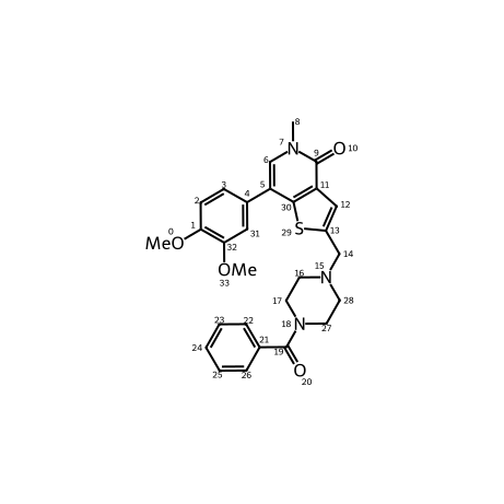 COc1ccc(-c2cn(C)c(=O)c3cc(CN4CCN(C(=O)c5ccccc5)CC4)sc23)cc1OC